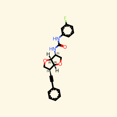 O=C(Nc1cccc(F)c1)N[C@H]1CO[C@H]2[C@@H]1OC[C@@H]2C#Cc1ccccc1